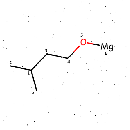 CC(C)CC[O][Mg]